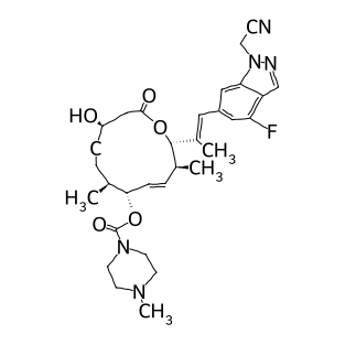 C/C(=C\c1cc(F)c2cnn(CC#N)c2c1)[C@H]1OC(=O)C[C@H](O)CC[C@H](C)[C@@H](OC(=O)N2CCN(C)CC2)/C=C/[C@@H]1C